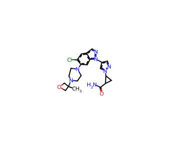 CC1(N2CCN(c3cc4c(cnn4-c4cnn(C5CC5C(N)=O)c4)cc3Cl)CC2)COC1